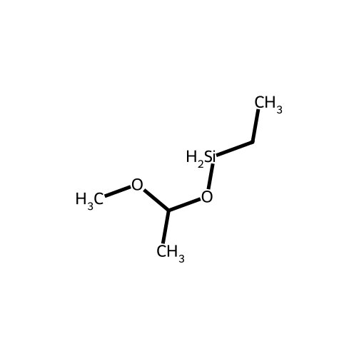 CC[SiH2]OC(C)OC